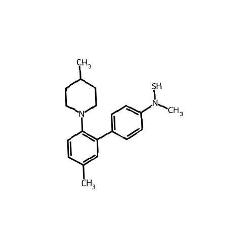 Cc1ccc(N2CCC(C)CC2)c(-c2ccc(N(C)S)cc2)c1